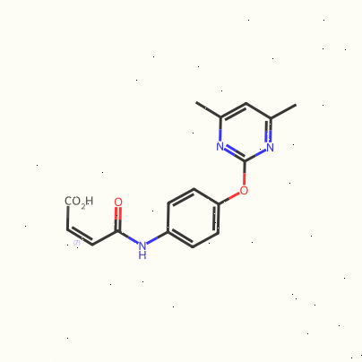 Cc1cc(C)nc(Oc2ccc(NC(=O)/C=C\C(=O)O)cc2)n1